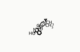 C[C@H]1CN(S(=O)(=O)c2cnc(O)c3ccccc23)CCN1C1(C)CC1